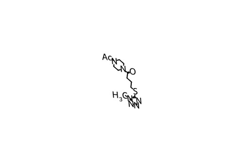 CC(=O)N1CCN(C(=O)CCCSc2nnnn2C)CC1